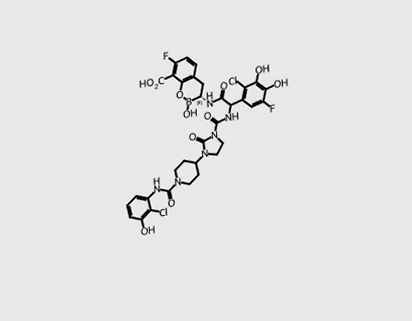 O=C(O)c1c(F)ccc2c1OB(O)[C@@H](NC(=O)C(NC(=O)N1CCN(C3CCN(C(=O)Nc4cccc(O)c4Cl)CC3)C1=O)c1cc(F)c(O)c(O)c1Cl)C2